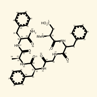 CN[C@@H](CC(=O)O)C(=O)NC(Cc1ccccc1)C(=O)NCC(=O)N[C@@H](Cc1ccccc1)C(=O)N[C@@H](C)C(=O)N[C@@H](Cc1ccccc1)C(N)=O